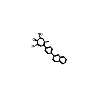 Cc1cc(N=O)c(=O)c(N=O)cc1-c1ccc(-c2ccc3ccccc3c2)cc1